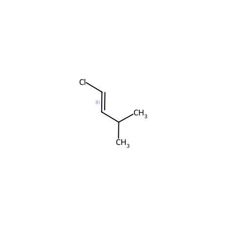 CC(C)/C=C/Cl